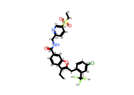 CCc1c(Cc2ccc(Cl)cc2C(F)(F)F)oc2cc(C(=O)NCc3ccc(S(=O)(=O)CC)cn3)ccc12